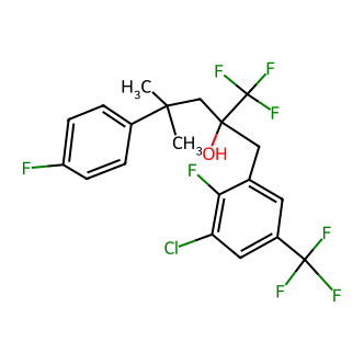 CC(C)(CC(O)(Cc1cc(C(F)(F)F)cc(Cl)c1F)C(F)(F)F)c1ccc(F)cc1